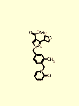 COC(=O)c1cn(Cc2ccc(Cn3ccccc3=O)c(C)c2)nc1C1COC1